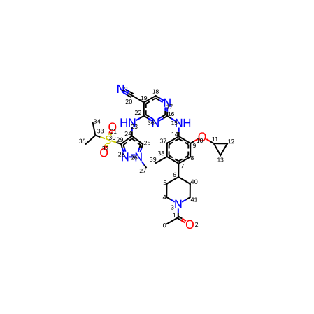 CC(=O)N1CCC(c2cc(OC3CC3)c(Nc3ncc(C#N)c(Nc4cn(C)nc4S(=O)(=O)C(C)C)n3)cc2C)CC1